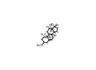 CC(=O)OC1CC[C@@]2(C)C(=CC[C@@H]3[C@@H]2CC[C@@]2(C)[C@H]3CC[C@]2(O)C(C)=O)C1